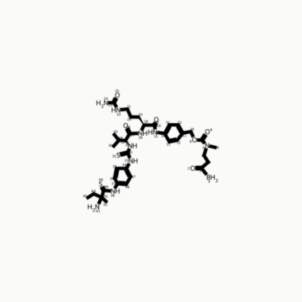 BC(=O)CCN(C)C(=O)OCc1ccc(NC(=O)[C@H](CCCNC(N)=O)NC(=O)[C@@H](NC(=S)Nc2ccc(NC(=S)C(C)(N)CC)cc2)C(C)C)cc1